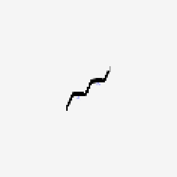 I/C=C/C=C/I